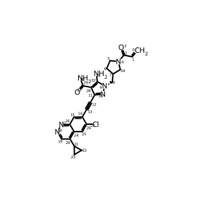 C=CC(=O)N1CCC(/C=[N+]2/N=C(C#Cc3cc4nncc(C5CC5)c4cc3Cl)C(C(N)=O)=C2N)C1